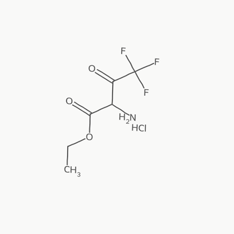 CCOC(=O)C(N)C(=O)C(F)(F)F.Cl